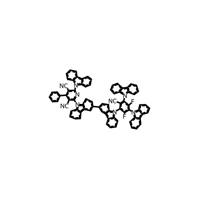 N#Cc1c(-n2c3ccccc3c3ccccc32)nc(-n2c3ccccc3c3cc(-c4ccc5c(c4)c4ccccc4n5-c4c(F)c(-n5c6ccccc6c6ccccc65)c(F)c(-n5c6ccccc6c6ccccc65)c4C#N)ccc32)c(C#N)c1-c1ccccc1